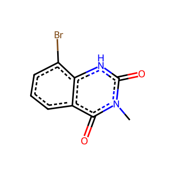 Cn1c(=O)[nH]c2c(Br)cccc2c1=O